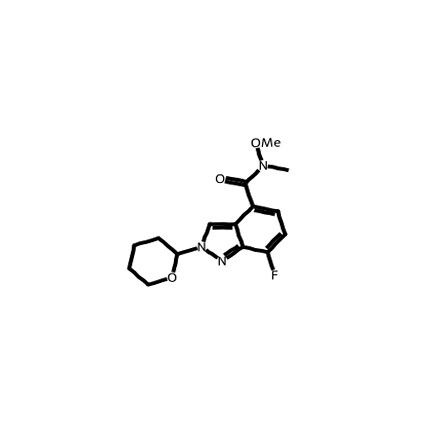 CON(C)C(=O)c1ccc(F)c2nn(C3CCCCO3)cc12